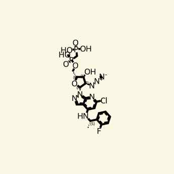 C[C@H](Nc1cc(Cl)nc2c1cnn2[C@@H]1O[C@H](COP(=O)(O)CP(=O)(O)O)[C@@H](O)[C@H]1N=[N+]=[N-])c1ccccc1F